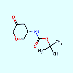 CC(C)(C)OC(=O)N[C@@H]1COCC(=O)C1